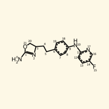 NC1=NC(CCc2ccc(Nc3ccc(F)cn3)cc2)CO1